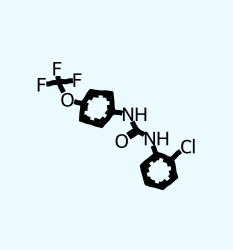 O=C(Nc1ccc(OC(F)(F)F)cc1)Nc1ccccc1Cl